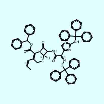 C/C=C\C1=C(C(=O)OC(c2ccccc2)c2ccccc2)N2C(=O)C(NC(=O)/C(=N\OC(c3ccccc3)(c3ccccc3)c3ccccc3)c3csc(NC(c4ccccc4)(c4ccccc4)c4ccccc4)n3)[C@@H]2SC1